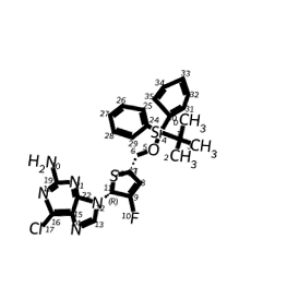 CC(C)(C)[Si](OC[C@@H]1C=C(F)[C@H](n2cnc3c(Cl)nc(N)nc32)S1)(c1ccccc1)c1ccccc1